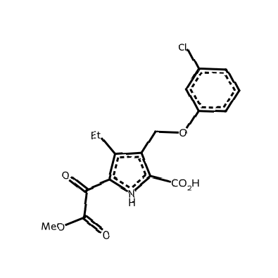 CCc1c(C(=O)C(=O)OC)[nH]c(C(=O)O)c1COc1cccc(Cl)c1